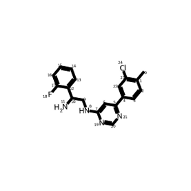 Cc1ccc(-c2cc(NCC(N)c3ccccc3F)ncn2)cc1Cl